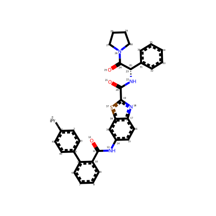 CC(C)c1ccc(-c2ccccc2C(=O)Nc2ccc3nc(C(=O)N[C@H](C(=O)N4CCCC4)c4ccccc4)sc3c2)cc1